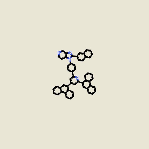 c1ccc2cc(-c3nc4cnccc4n3-c3ccc(-c4cc(-c5cc6ccccc6c6ccccc56)cc(-c5cc6ccccc6c6ccccc56)n4)cc3)ccc2c1